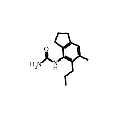 CCCc1c(C)cc2c(c1NC(N)=O)CCC2